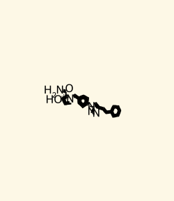 NC(=O)[C@@H]1[C@@H](O)CCN1Cc1ccc(-n2cc(CCC3CCCCC3)nn2)cc1